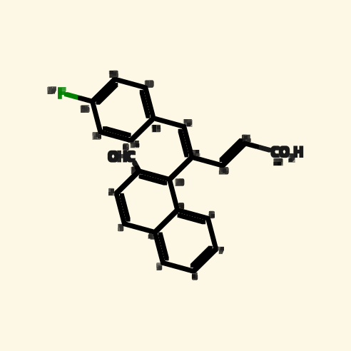 O=Cc1ccc2ccccc2c1C(=C\c1ccc(F)cc1)/C=C/C(=O)O